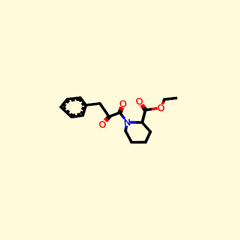 CCOC(=O)C1CCCCN1C(=O)C(=O)Cc1ccccc1